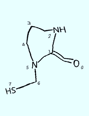 O=C1NCCN1CS